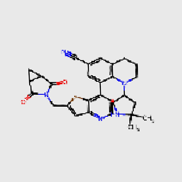 CC1(C)CC(N2CCCc3cc(C#N)cc(-c4ccnc5cc(CN6C(=O)C7CC7C6=O)sc45)c32)CN1